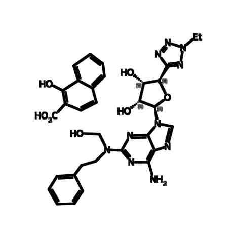 CCn1nnc([C@H]2O[C@@H](n3cnc4c(N)nc(N(CO)CCc5ccccc5)nc43)[C@H](O)[C@@H]2O)n1.O=C(O)c1ccc2ccccc2c1O